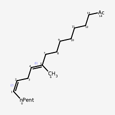 CCCCC/C=C\C/C=C(\C)CCCCCCCC(C)=O